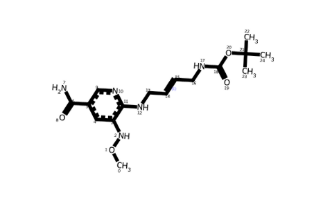 CONc1cc(C(N)=O)cnc1NC/C=C/CNC(=O)OC(C)(C)C